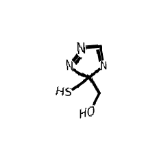 OCC1(S)N=CN=N1